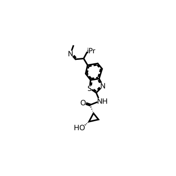 C/N=C\C(c1ccc2nc(NC(=O)[C@@H]3C[C@@H]3O)sc2c1)C(C)C